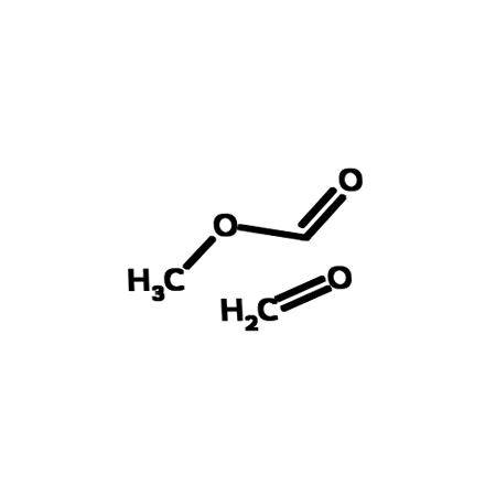 C=O.COC=O